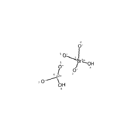 [O-][Br+3]([O-])([O-])O.[O-][I+2]([O-])O